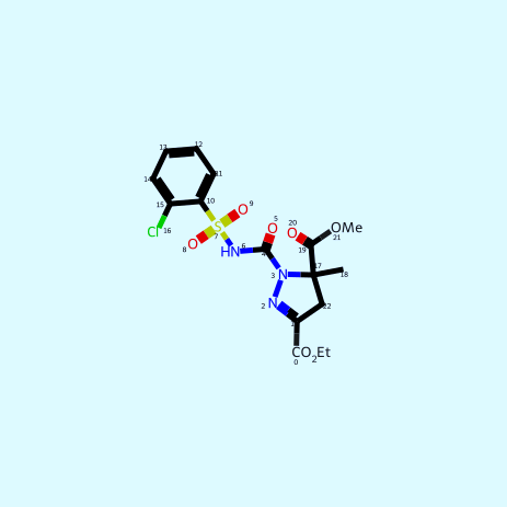 CCOC(=O)C1=NN(C(=O)NS(=O)(=O)c2ccccc2Cl)C(C)(C(=O)OC)C1